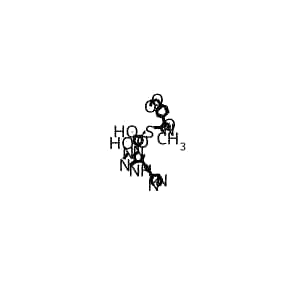 Cc1noc(-c2ccc3c(c2)OCO3)c1CSC[C@H]1O[C@@H](n2cc(C#Cc3cncnc3)c3c(N)ncnc32)[C@H](O)[C@@H]1O